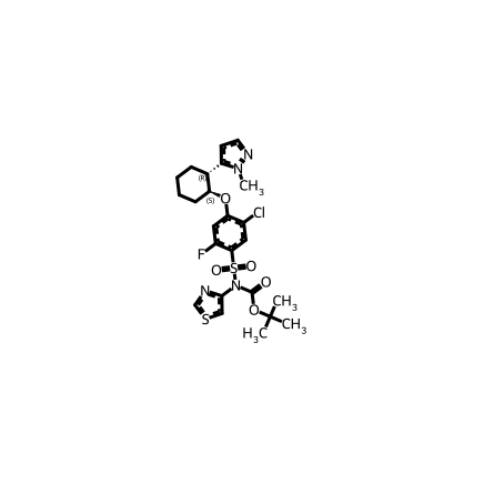 Cn1nccc1[C@H]1CCCC[C@@H]1Oc1cc(F)c(S(=O)(=O)N(C(=O)OC(C)(C)C)c2cscn2)cc1Cl